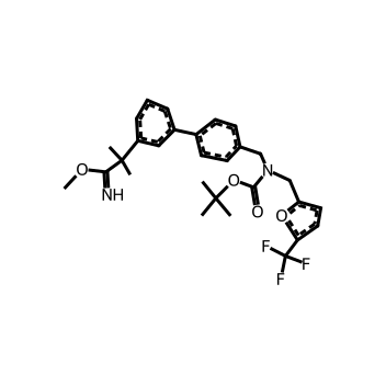 COC(=N)C(C)(C)c1cccc(-c2ccc(CN(Cc3ccc(C(F)(F)F)o3)C(=O)OC(C)(C)C)cc2)c1